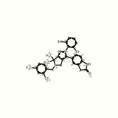 CCc1cccc(CC)c1-n1nc2c(c1-c1ccc3c(c1)CC(=O)N3)CN(Cc1ccc(C(F)(F)F)cc1C(F)(F)F)C2(C)C